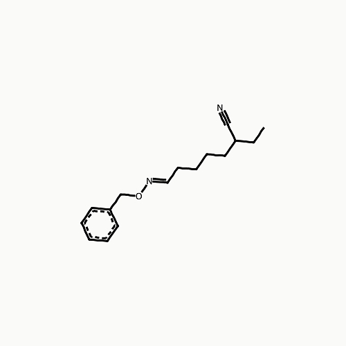 CCC(C#N)CCCCC=NOCc1ccccc1